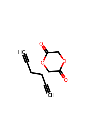 C#CCCC#C.O=C1COC(=O)CO1